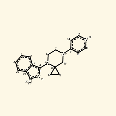 c1ccc2c(N3CCN(c4ccncc4)CC34CC4)n[nH]c2c1